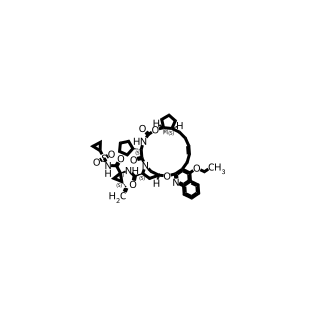 C=C[C@@H]1C[C@]1(NC(=O)[C@@H]1C[C@@H]2CN1C(=O)[C@H](C1CCCC1)NC(=O)O[C@@H]1CCC[C@H]1CCC=CCc1c(nc3ccccc3c1OCC)O2)C(=O)NS(=O)(=O)C1CC1